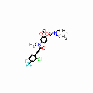 CCN(CC)CCOc1ccc(N(C)C(=O)C#Cc2ccc(C(F)(F)F)cc2Cl)cc1OC